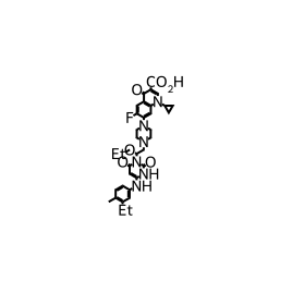 CCOC(CN1CCN(c2cc3c(cc2F)c(=O)c(C(=O)O)cn3C2CC2)CC1)n1c(=O)cc(Nc2ccc(C)c(CC)c2)[nH]c1=O